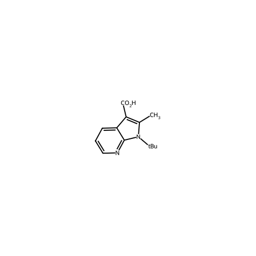 Cc1c(C(=O)O)c2cccnc2n1C(C)(C)C